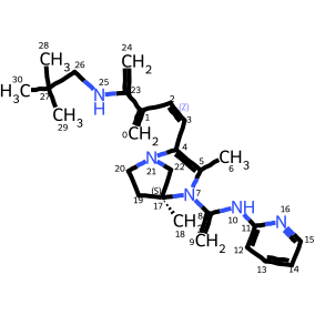 C=C(/C=C\C1=C(C)N(C(=C)Nc2ccccn2)[C@@]2(C)CCN1C2)C(=C)NCC(C)(C)C